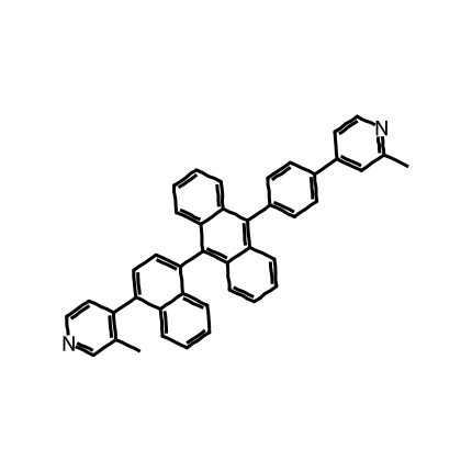 Cc1cc(-c2ccc(-c3c4ccccc4c(-c4ccc(-c5ccncc5C)c5ccccc45)c4ccccc34)cc2)ccn1